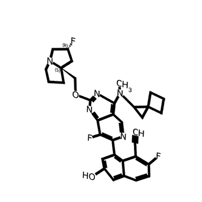 C#Cc1c(F)ccc2cc(O)cc(-c3ncc4c(N(C)C5CC56CCC6)nc(OC[C@@]56CCCN5C[C@H](F)C6)nc4c3F)c12